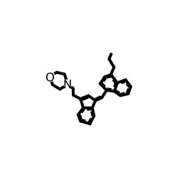 CCCc1ccc(C=C2C=C(CCN3CCOCC3)c3ccccc32)c2ccccc12